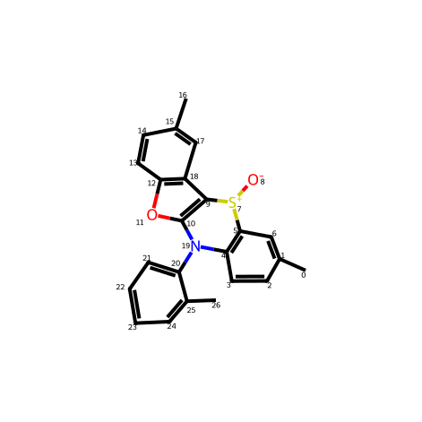 Cc1ccc2c(c1)[S+]([O-])c1c(oc3ccc(C)cc13)N2c1ccccc1C